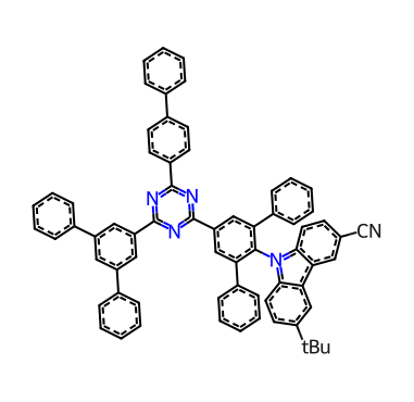 CC(C)(C)c1ccc2c(c1)c1cc(C#N)ccc1n2-c1c(-c2ccccc2)cc(-c2nc(-c3ccc(-c4ccccc4)cc3)nc(-c3cc(-c4ccccc4)cc(-c4ccccc4)c3)n2)cc1-c1ccccc1